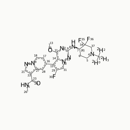 [2H]C([2H])([2H])N1CC[C@@H](Nc2nc(OC)c3c(-c4ccn5ncc(C(=O)NC)c5c4)c(F)cn3n2)C(F)(F)C1